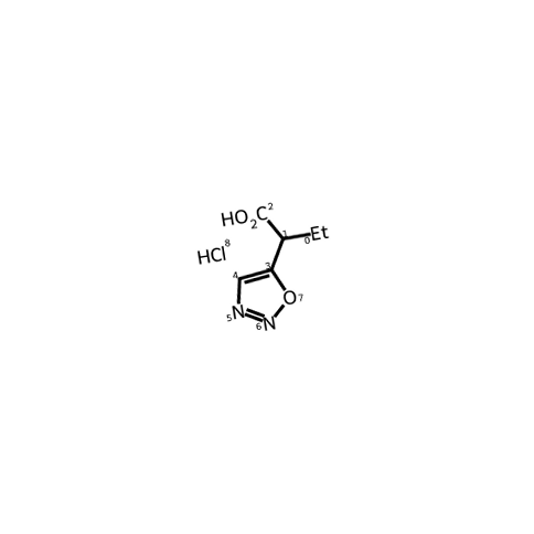 CCC(C(=O)O)c1cnno1.Cl